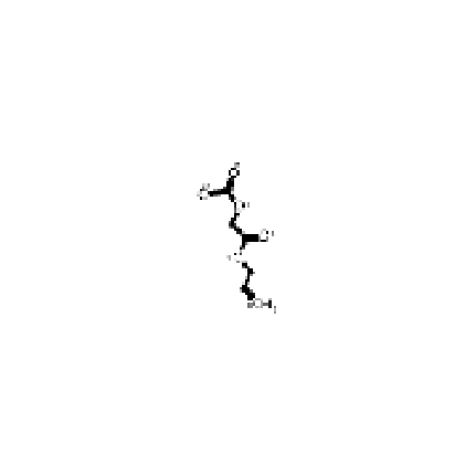 C=CCOC(=O)COC(=O)Cl